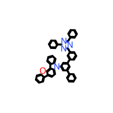 c1ccc(-c2cc(-c3cccc(-c4nc(-c5ccccc5)nc(-c5ccccc5)n4)c3)cc(-n3c4ccccc4c4c5oc6ccccc6c5ccc43)c2)cc1